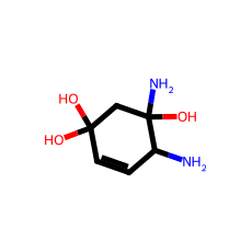 NC1C=CC(O)(O)CC1(N)O